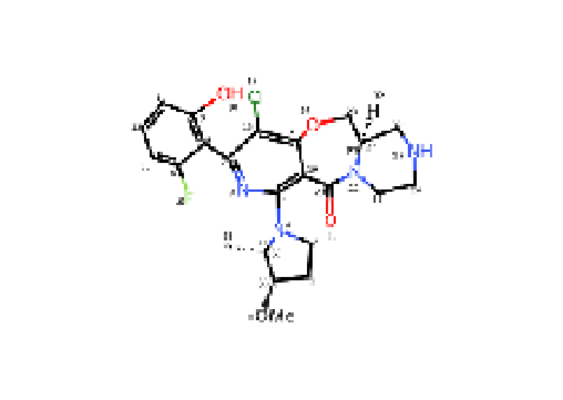 CO[C@@H]1CCN(c2nc(-c3c(O)cccc3F)c(Cl)c3c2C(=O)N2CCNC[C@@H]2CO3)[C@H]1C